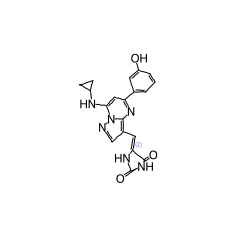 O=C1NC(=O)/C(=C/c2cnn3c(NC4CC4)cc(-c4cccc(O)c4)nc23)N1